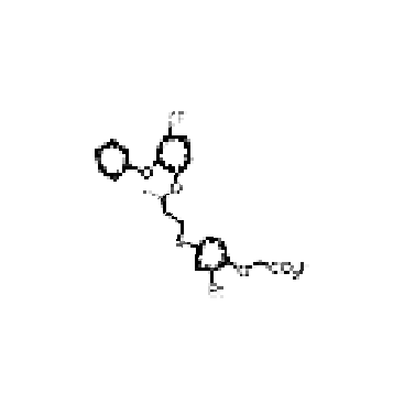 CCc1cc(SCC[C@H](C)Oc2ccc(C(F)(F)F)cc2Oc2ccccc2)ccc1OCC(=O)O